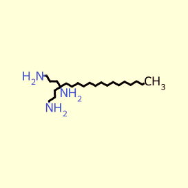 CCCCCCCCCCCCCCCC(N)(CCCN)CCCN